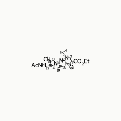 CCOC(=O)c1cn(C2CC2)c2nc(N3C[C@H](CNC(C)=O)[C@@H](Cl)C3)c(F)cc2c1=O